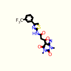 Cn1c(=O)c2c(CC(=O)Nc3nc(-c4cccc(C(F)(F)F)c4)cs3)onc2n(C)c1=O